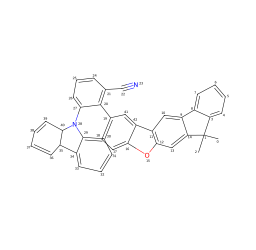 CC1(C)c2ccccc2-c2cc3c(cc21)oc1ccc(-c2c(C#N)cccc2N2c4ccccc4C4C=CC=CC42)cc13